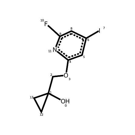 OC1(COc2cc(I)cc(F)n2)CC1